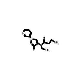 CCN(C(=O)CCN)c1cn(-c2cccnc2)nc1Cl